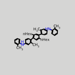 CCCCCCc1cc(-c2ccc(Nc3ccccc3C)cc2C)c(CCCCCC)cc1-c1ccc(Nc2ccccc2C)cc1C